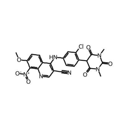 COc1ccc2c(Nc3ccc(C4C(=O)N(C)C(=O)N(C)C4=O)c(Cl)c3)c(C#N)cnc2c1[N+](=O)[O-]